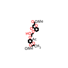 C=C(Oc1cccc(OCC(O)COc2cccc3oc(C(=O)OC)cc(=O)c23)c1C(C)=O)C(=O)OC